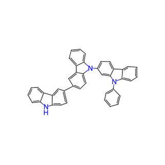 c1ccc(-n2c3ccccc3c3ccc(-n4c5ccccc5c5cc(-c6ccc7[nH]c8ccccc8c7c6)ccc54)cc32)cc1